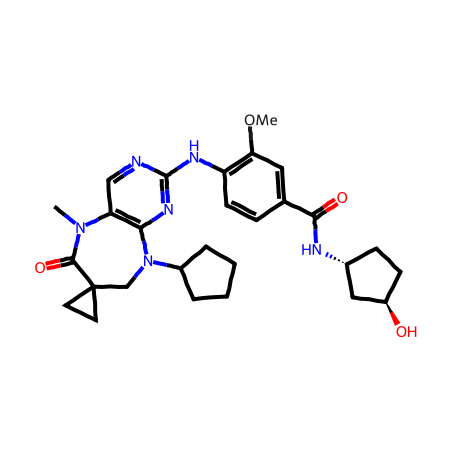 COc1cc(C(=O)N[C@@H]2CC[C@@H](O)C2)ccc1Nc1ncc2c(n1)N(C1CCCC1)CC1(CC1)C(=O)N2C